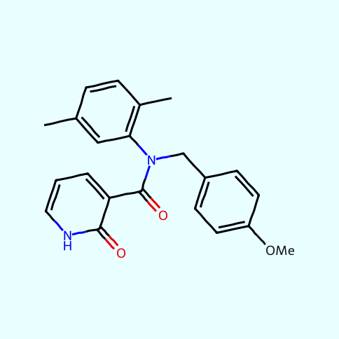 COc1ccc(CN(C(=O)c2ccc[nH]c2=O)c2cc(C)ccc2C)cc1